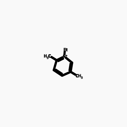 CC[n+]1cc(C)ccc1C